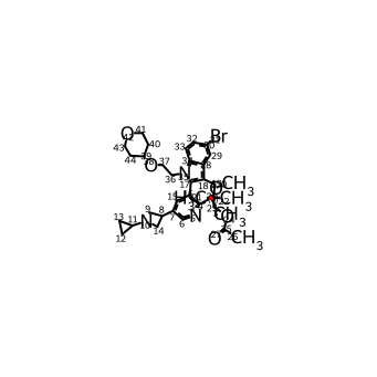 CO[C@@H](C)c1ncc(C2CN(C3CC3)C2)cc1-c1c(CC(C)(C)COC(C)=O)c2cc(Br)ccc2n1CCOC1CCOCC1